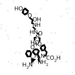 NC(Cc1ccc(O)cc1)C(=O)O.NCCc1ccc(O)cc1.N[C@@H]1C[C@H]1c1ccccc1.O=C(NCCNCC(O)COc1ccc(O)cc1)N1CCOCC1